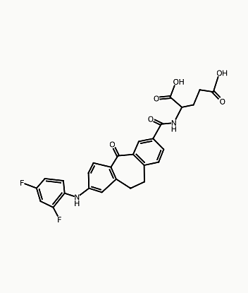 O=C(O)CCC(NC(=O)c1ccc2c(c1)C(=O)c1ccc(Nc3ccc(F)cc3F)cc1CC2)C(=O)O